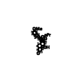 CCC[C@@H]1O[C@@H]2CC3C4CCC5=CC(=O)C=CC5(C)C4[C@@H](O)CC3(C)[C@]2(C(=O)CSc2nc3cc(OC)ccc3s2)O1